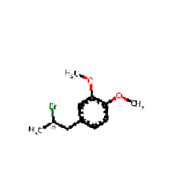 COc1ccc(C[C@@H](C)Br)cc1OC